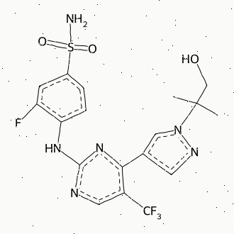 CC(C)(CO)n1cc(-c2nc(Nc3ccc(S(N)(=O)=O)cc3F)ncc2C(F)(F)F)cn1